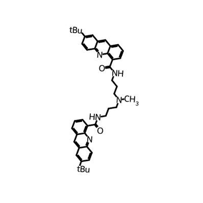 CN(CCCNC(=O)c1cccc2cc3cc(C(C)(C)C)ccc3nc12)CCCNC(=O)c1cccc2cc3cc(C(C)(C)C)ccc3nc12